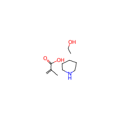 C1CCNCC1.C=C(C)C(=O)O.CCO